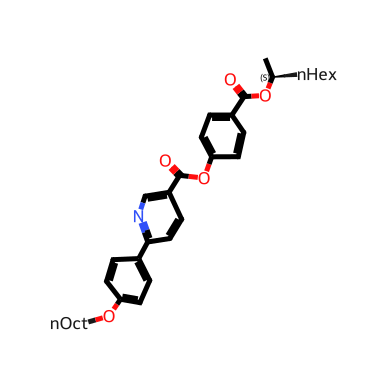 CCCCCCCCOc1ccc(-c2ccc(C(=O)Oc3ccc(C(=O)O[C@@H](C)CCCCCC)cc3)cn2)cc1